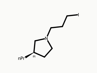 CCC[C@@H]1CCN(CCCI)C1